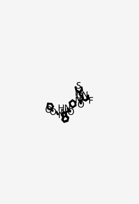 O=C(N[C@H]1CC[C@@H](NC(=O)c2nn(CCOC3CCCCO3)c3ccccc23)CC1)c1cc(F)cnc1OC1CCSCC1